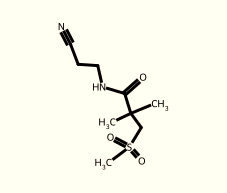 CC(C)(CS(C)(=O)=O)C(=O)NCCC#N